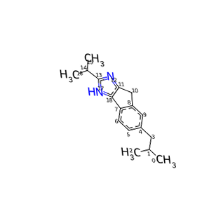 CC(C)Cc1ccc2c(c1)Cc1nc(C(C)C)[nH]c1-2